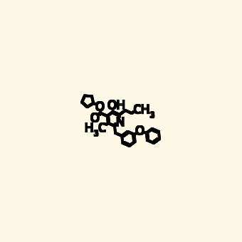 CCCc1nc(Cc2cccc(Oc3ccccc3)c2)c(C)c(C(=O)OC2CCCC2)c1O